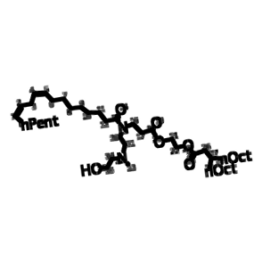 CCCCC/C=C\C/C=C\CCCCCCCC(=O)N(CCC(=O)OCCOC(=O)CC(CCCCCCCC)CCCCCCCC)CCN(C)CCO